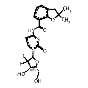 CC1(C)Cc2cccc(C(=O)Nc3ccn(C4O[C@H](CO)[C@@H](O)C4(F)I)c(=O)n3)c2O1